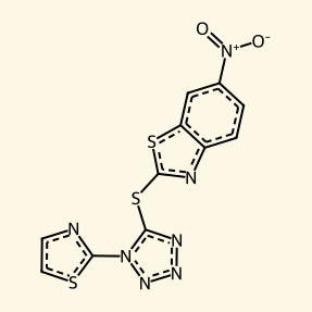 O=[N+]([O-])c1ccc2nc(Sc3nnnn3-c3nccs3)sc2c1